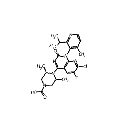 Cc1ccnc(C(C)C)c1-n1c(=O)nc(N2[C@H](C)CN(C(=O)O)C[C@@H]2C)c2cc(F)c(Cl)nc21